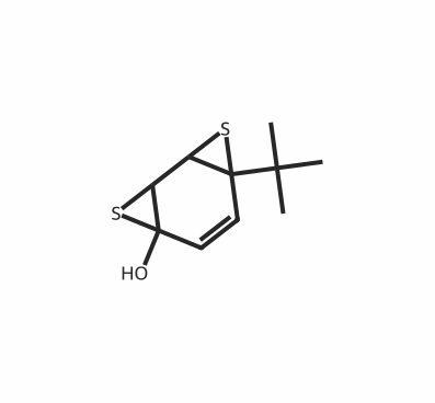 CC(C)(C)C12C=CC3(O)SC3C1S2